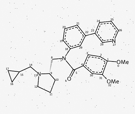 COc1ccc(C(=O)N(C[C@@H]2CCCN2CC2CC2)c2cccc(-c3cccnc3)c2)cc1OC